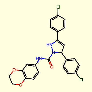 O=C(Nc1ccc2c(c1)OCCO2)N1NC(c2ccc(Cl)cc2)=CC1c1ccc(Cl)cc1